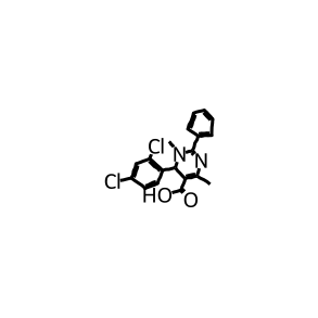 CC1=C(C(=O)O)C(c2ccc(Cl)cc2Cl)N(C)C(c2ccccc2)=N1